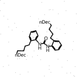 CCCCCCCCCCCCCCc1ccccc1NC(=O)Nc1ccccc1CCCCCCCCCCCCCC